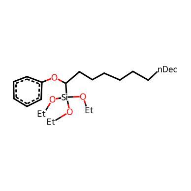 CCCCCCCCCCCCCCCCC(Oc1ccccc1)[Si](OCC)(OCC)OCC